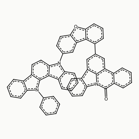 O=c1c2ccccc2c2cc(-c3cccc4oc5ccc(-n6c7ccccc7c7c6ccc6c8ccccc8n(-c8ccccc8)c67)cc5c34)cc3c4ccccc4n1c23